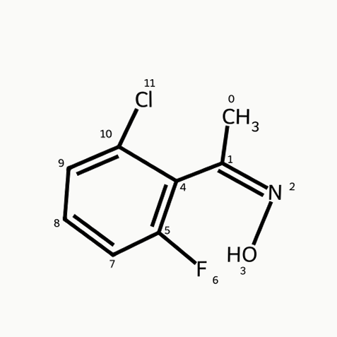 C/C(=N/O)c1c(F)cccc1Cl